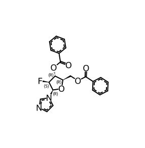 O=C(OC[C@H]1O[C@@H](n2ccnc2)[C@@H](F)[C@@H]1OC(=O)c1ccccc1)c1ccccc1